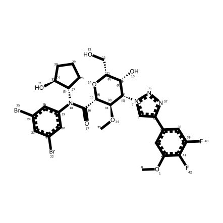 COc1cc(-c2cn([C@H]3[C@@H](O)[C@@H](CO)O[C@@H](C(=O)N(c4cc(Br)cc(Br)c4)[C@H]4CCC[C@@H]4O)[C@@H]3OC)nn2)cc(F)c1F